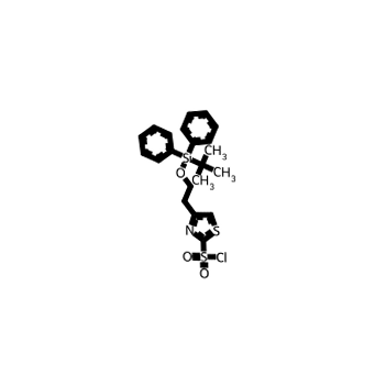 CC(C)(C)[Si](OCCc1csc(S(=O)(=O)Cl)n1)(c1ccccc1)c1ccccc1